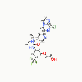 CCN(C(=O)NC(CCOCCO)CCC(F)(F)F)C(C)c1ccnc(-c2cn3ccnc3c(Cl)n2)c1